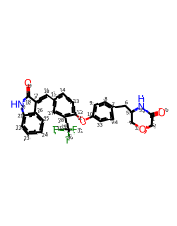 O=C1COCC(Cc2ccc(Oc3ccc(/C=C4/C(=O)Nc5ccccc54)cc3C(F)(F)F)cc2)N1